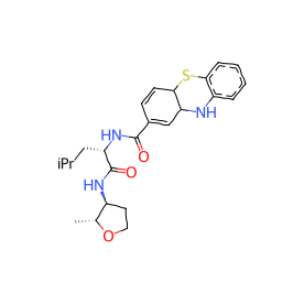 CC(C)C[C@H](NC(=O)C1=CC2Nc3ccccc3SC2C=C1)C(=O)N[C@H]1CCO[C@@H]1C